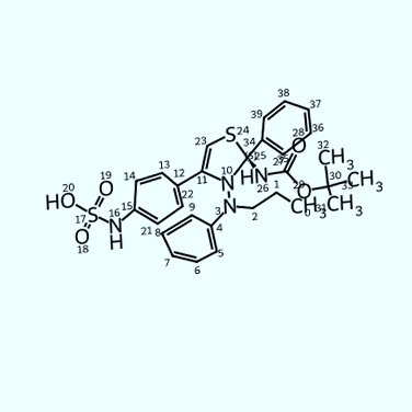 CCCN(c1ccccc1)N1C(c2ccc(NS(=O)(=O)O)cc2)=CS[C@]1(NC(=O)OC(C)(C)C)c1ccccc1